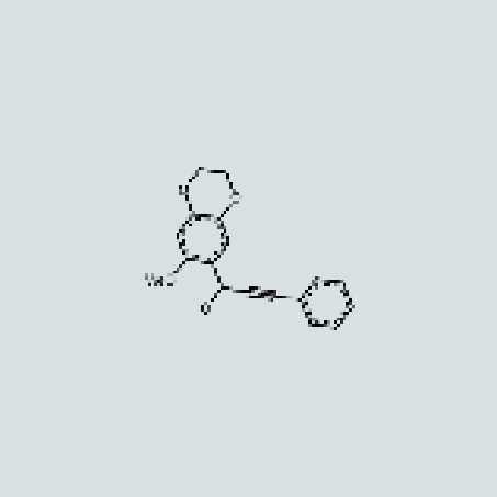 COc1cc2c(cc1C(O)C#Cc1ccccc1)OCCO2